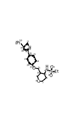 CCS(=O)(=O)NC1CCOCC1COc1ccc(-n2cc(C(C)C)cn2)cc1